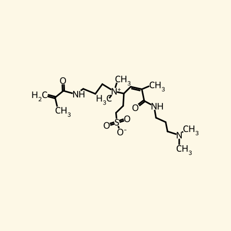 C=C(C)C(=O)NCCC[N+](C)(C)C(C=C(C)C(=O)NCCCN(C)C)CCS(=O)(=O)[O-]